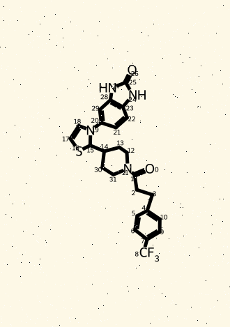 O=C(CCc1ccc(C(F)(F)F)cc1)N1CCC(C2SC=CN2c2ccc3[nH]c(=O)[nH]c3c2)CC1